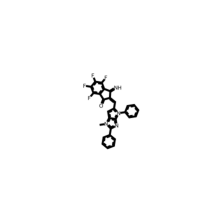 Cn1c(-c2ccccc2)nc2c1cc(/C=C1/C(=N)c3c(F)c(F)c(F)c(F)c3C1=O)n2-c1ccccc1